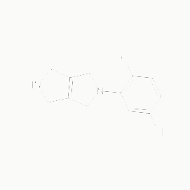 Cc1ccc(Cl)cc1N1CC2=C(CNC2)C1